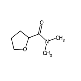 CN(C)C(=O)[C]1CCCO1